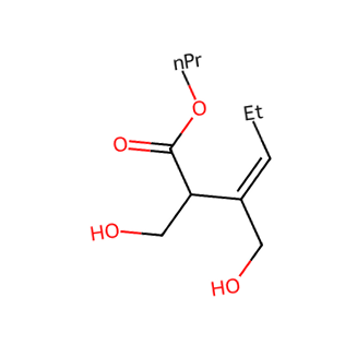 CCC=C(CO)C(CO)C(=O)OCCC